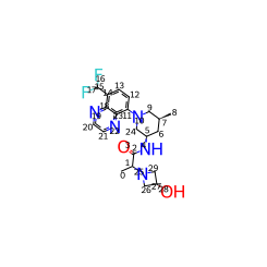 CC(C(=O)N[C@@H]1C[C@H](C)CN(c2ccc(C(F)F)c3nccnc23)C1)N1CC(O)C1